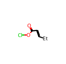 CCC=CC(=O)OCl